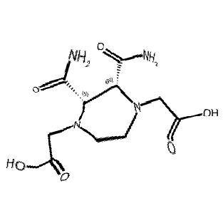 NC(=O)[C@@H]1[C@H](C(N)=O)N(CC(=O)O)CCN1CC(=O)O